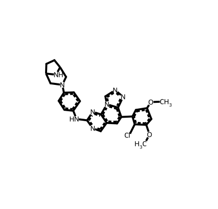 COc1cc(OC)c(Cl)c(-c2cc3cnc(Nc4ccc(N5CC6CCC(C5)N6)cc4)nc3n3cnnc23)c1